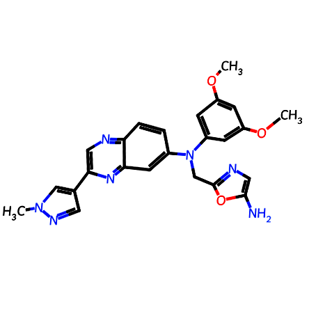 COc1cc(OC)cc(N(Cc2ncc(N)o2)c2ccc3ncc(-c4cnn(C)c4)nc3c2)c1